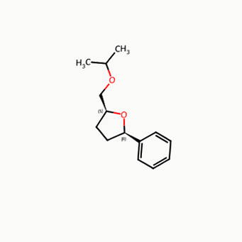 CC(C)OC[C@@H]1CC[C@H](c2ccccc2)O1